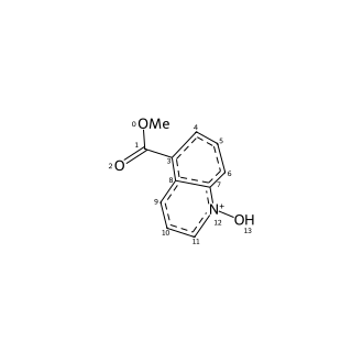 COC(=O)c1cccc2c1ccc[n+]2O